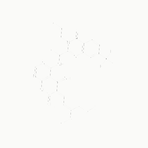 C=C/C(=C\C=C(/COC)OC)C(=N)c1c(N)ncnc1NC(C)c1nc2cc(C(F)(F)F)ccc2c(=O)n1CCC